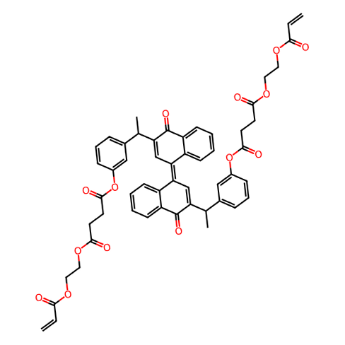 C=CC(=O)OCCOC(=O)CCC(=O)Oc1cccc(C(C)C2=C/C(=C3/C=C(C(C)c4cccc(OC(=O)CCC(=O)OCCOC(=O)C=C)c4)C(=O)c4ccccc43)c3ccccc3C2=O)c1